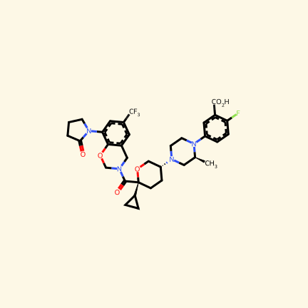 C[C@H]1CN([C@@H]2CC[C@@](C(=O)N3COc4c(cc(C(F)(F)F)cc4N4CCCC4=O)C3)(C3CC3)OC2)CCN1c1ccc(F)c(C(=O)O)c1